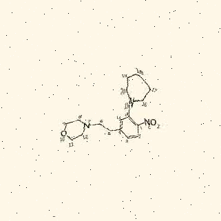 O=[N+]([O-])c1ccc(CCN2CCOCC2)cc1N1CCCCC1